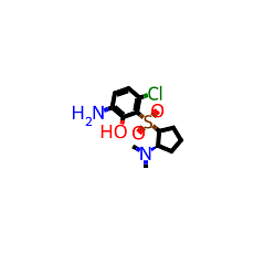 CN(C)[C@@H]1CCCC1S(=O)(=O)c1c(Cl)ccc(N)c1O